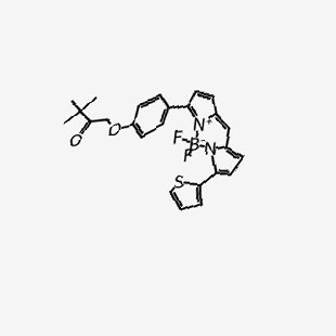 CC(C)(C)C(=O)COc1ccc(C2=[N+]3C(=Cc4ccc(-c5cccs5)n4[B-]3(F)F)C=C2)cc1